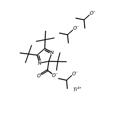 CC(C)(C)C1=NC(C(=O)[O-])(C(C)(C)C)N=C1C(C)(C)C.CC(C)[O-].CC(C)[O-].CC(C)[O-].[Ti+4]